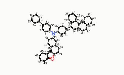 c1ccc(-c2ccc(N(c3ccc(-c4cc5ccc6ccccc6c5c5ccccc45)cc3)c3ccc4c(ccc5oc6ccccc6c54)c3)cc2)cc1